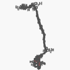 CCC(O)(CC)C[C@H]1CNCCc2c([nH]c3ccccc23)[C@@](C(=O)OC)(c2cc3c(cc2OC)N(C)[C@H]2[C@@](O)(C(=O)NNC(=O)OCCSSC[C@H](NC(=O)CCOCCOCCOCCOCCOCCOCCOCCOCCOCCOCCOCCOCCNC(=O)CC[C@H](NC(=O)c4ccc(NCc5cnc6nc(N)nc(O)c6n5)cc4)C(=O)O)C(=O)O)[C@H](O)[C@]4(CC)C=CCN5CC[C@]32[C@@H]54)C1